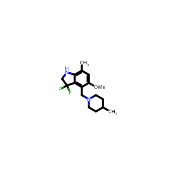 COc1cc(C)c2c(c1CN1CCC(C)CC1)C(F)(F)CN2